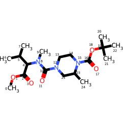 COC(=O)C(C(C)C)N(C)C(=O)N1CCN(C(=O)OC(C)(C)C)C(C)C1